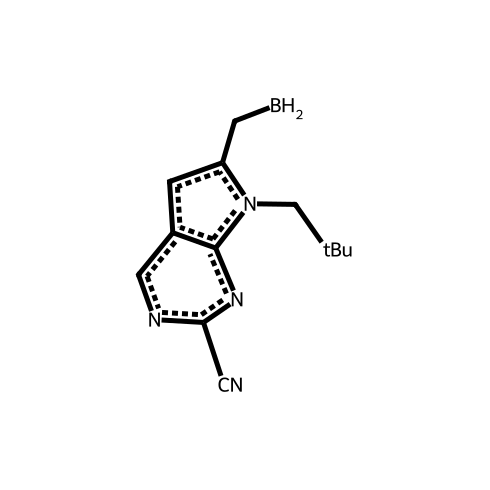 BCc1cc2cnc(C#N)nc2n1CC(C)(C)C